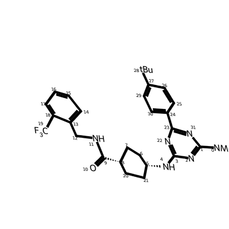 CNc1nc(N[C@H]2CC[C@@H](C(=O)NCc3ccccc3C(F)(F)F)CC2)nc(-c2ccc(C(C)(C)C)cc2)n1